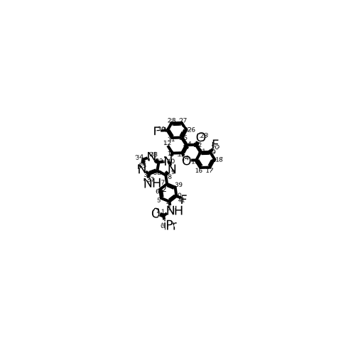 CC(C)C(=O)Nc1ccc(-c2nn(C(C)c3oc4cccc(F)c4c(=O)c3-c3cccc(F)c3)c3ncnc(N)c23)cc1F